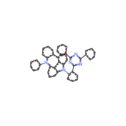 c1ccc(-c2nc(-c3ccccc3)nc(-c3ccccc3-n3c4cccc5c6ccccc6n(-c6ccccc6)c6cccc3c6c54)n2)cc1